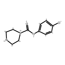 O=C(Oc1ccc(Cl)cc1)N1CC[N]CC1